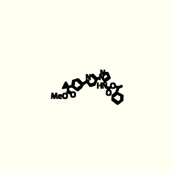 COC(=O)C1(c2ccc(-c3ccc(-n4nccc4NC(=O)OC(C)c4ccccc4)cn3)cc2)CC1